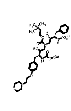 CC(C)(C)OC(=O)N[C@@H](Cc1ccc(OCCN2CCOCC2)cc1)C(O)CN(C[C@@H](O)[C@H](Cc1ccccc1)NC(=O)O)C(=O)OCC[Si](C)(C)C